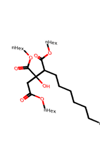 CCCCCCCCCCCCCCCCC(C(=O)OCCCCCC)C(O)(CC(=O)OCCCCCC)C(=O)OCCCCCC